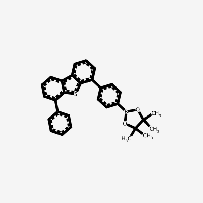 CC1(C)OB(c2ccc(-c3cccc4c3sc3c(-c5ccccc5)cccc34)cc2)OC1(C)C